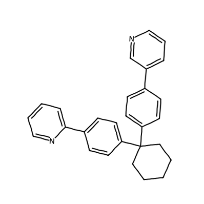 c1ccc(-c2ccc(C3(c4ccc(-c5cccnc5)cc4)CCCCC3)cc2)nc1